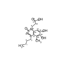 CCCCc1nc(=O)n(CCC(=O)O)c2cc(O)c(O)c(C)c12